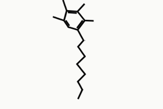 CCCCCCC[CH]c1cc(C)c(C)c(C)c1C